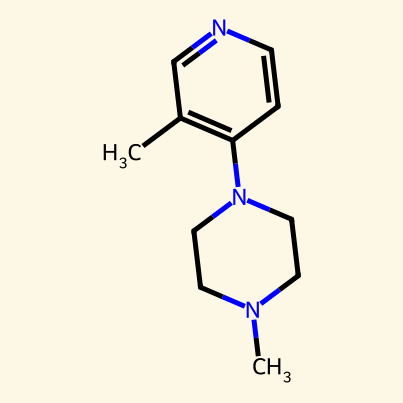 Cc1cnccc1N1CCN(C)CC1